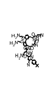 Cc1nc(-c2ccc(C(C)(C)C)cc2)c(C#N)cc1C(=O)NC(CCN)C(=O)N(C)C1C(=O)NC(C)C(=O)NC(C(=O)NCC#N)Cc2ccc(OCCN)c(c2)-c2cc1ccc2OCCN